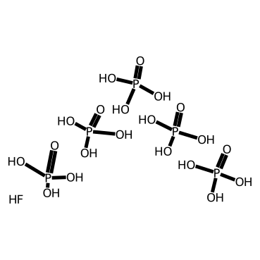 F.O=P(O)(O)O.O=P(O)(O)O.O=P(O)(O)O.O=P(O)(O)O.O=P(O)(O)O